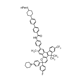 CCCCCC1CCC(c2ccc(-c3ccc(C(=O)Nc4ccc(-c5cc6c7c(c8c(c6cc5C)OC(c5ccc(F)cc5)(c5ccc(N6CCCCC6)cc5)C=C8)C(C)(C)c5cc(C(F)(F)F)ccc5-7)cc4)cc3)cc2)CC1